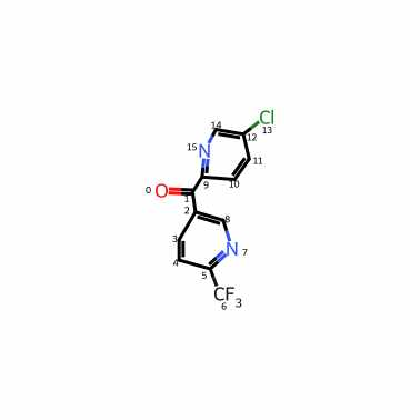 O=C(c1ccc(C(F)(F)F)nc1)c1ccc(Cl)cn1